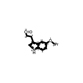 CC(C)Oc1ccc2[nH]cc(CCC=O)c2c1